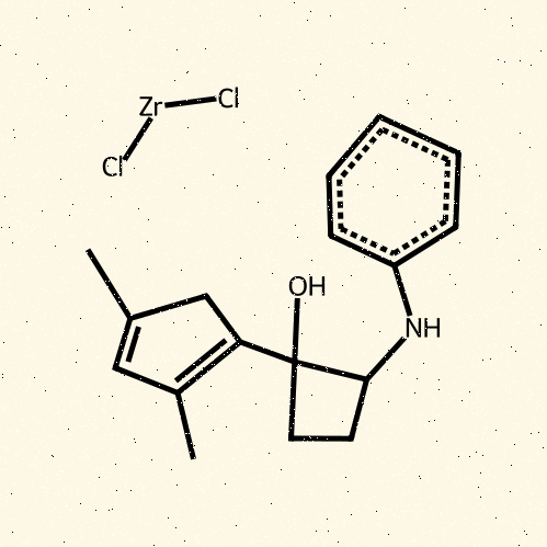 CC1=CC(C)=C(C2(O)CCC2Nc2ccccc2)C1.[Cl][Zr][Cl]